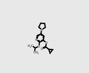 CC(C)Oc1ncc(N2CCCC2)cc1OC(=O)C1CC1